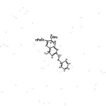 CCCCCC(=Cc1ccc(OCc2ccccc2)cc1C)C(=O)OC